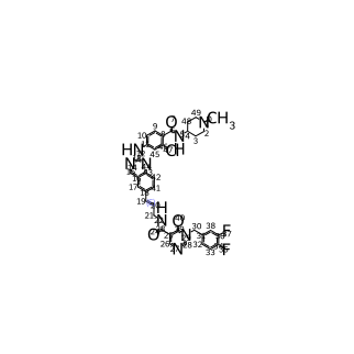 CN1CCC(NC(=O)c2ccc(Nc3ncc4cc(/C=C/CNC(=O)c5cncn(Cc6ccc(F)c(F)c6)c5=O)ccc4n3)cc2Cl)CC1